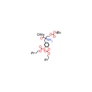 CC[C@H](C)OC(=O)OCC[C@@](N)(Cc1ccc(OC(=O)OCCC(C)C)c(OC(=O)OCCC(C)C)c1)C(=O)OC